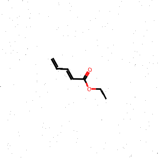 C=C/C=C/C(=O)OCC